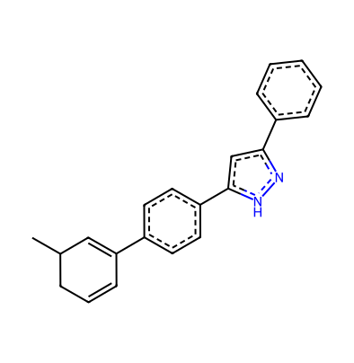 CC1C=C(c2ccc(-c3cc(-c4ccccc4)n[nH]3)cc2)C=CC1